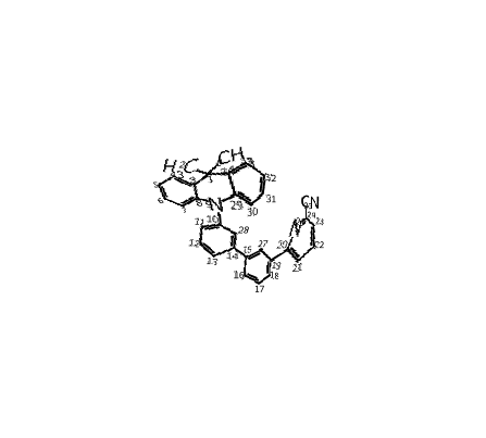 CC1(C)c2ccccc2N(c2cccc(-c3cccc(-c4cccc(C#N)n4)c3)c2)c2ccccc21